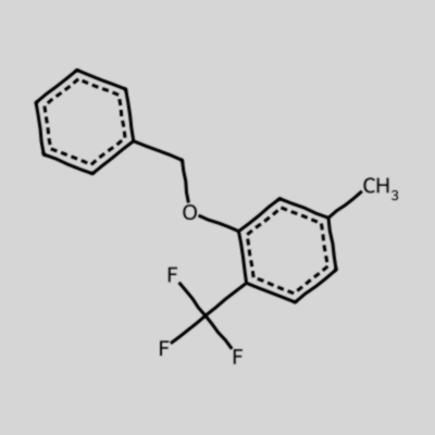 Cc1ccc(C(F)(F)F)c(OCc2ccccc2)c1